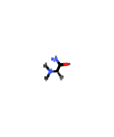 CC[C@@H](C(N)=O)N(CC)CC